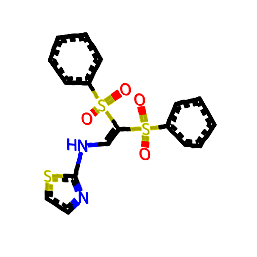 O=S(=O)(C(=CNc1nccs1)S(=O)(=O)c1ccccc1)c1ccccc1